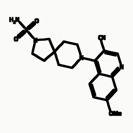 COc1ccc2c(N3CCC4(CC3)CCN(S(N)(=O)=O)C4)c(C#N)cnc2c1